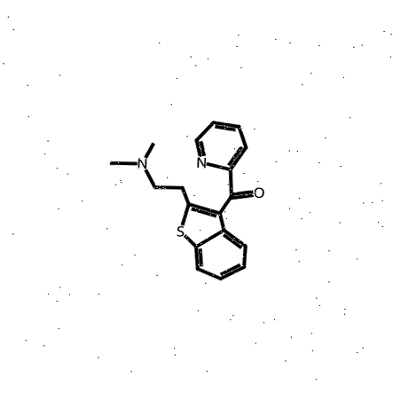 CN(C)CCc1sc2ccccc2c1C(=O)c1ccccn1